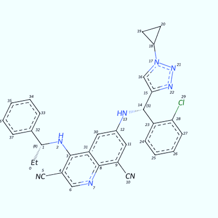 CC[C@@H](Nc1c(C#N)cnc2c(C#N)cc(N[C@H](c3cn(C4CC4)nn3)c3ccccc3Cl)cc12)c1ccccc1